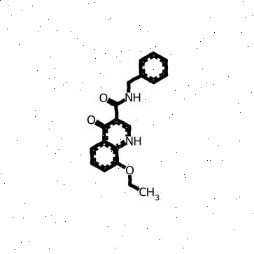 CCOc1cccc2c(=O)c(C(=O)NCc3ccccc3)c[nH]c12